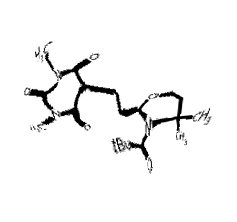 CN1C(=O)C(=C/C=C2\OCC(C)(C)N2C(=O)C(C)(C)C)C(=O)N(C)C1=O